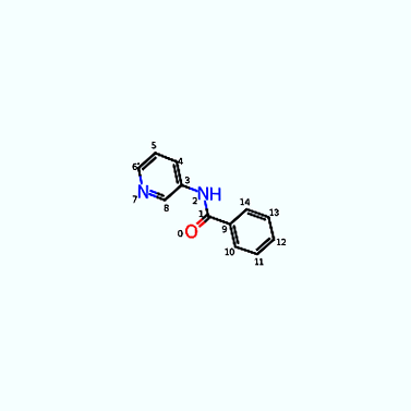 O=C(Nc1cc[c]nc1)c1ccccc1